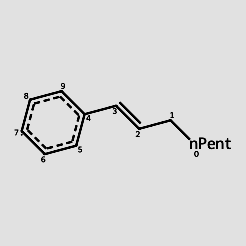 CCCCCCC=Cc1cc[c]cc1